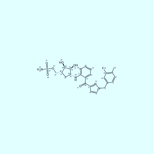 Cc1ccc(Cn2ccc(C(=O)c3cncnc3N[C@@H]3C[C@H](COS(N)(=O)=O)[C@@H](O)[C@H]3O)n2)cc1F